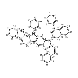 c1ccc(-c2cc(-n3c4cc5c(cc4c4c6ccccc6ccc43)c3ccc4c6ccccc6oc4c3n5-c3ccccc3)cc3ccccc23)cc1